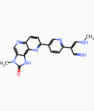 CN/C=C(\C=N)c1ccc(-c2ccc3ncc4c([nH]c(=O)n4C)c3n2)cn1